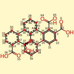 O=C(O)c1cccc(-c2ccccc2-c2ccccc2-c2ccccc2-c2cccc(-c3ccccc3-c3ccccc3-c3ccccc3-c3cccc(C(=O)O)c3C(=O)O)c2)c1C(=O)O